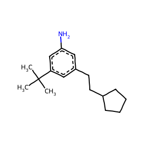 CC(C)(C)c1cc(N)cc(CCC2CCCC2)c1